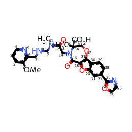 COc1cccnc1CNCN(C)C(=O)CN1C(=O)c2oc3cc(-c4ncco4)ccc3c2OC[C@]1(C)C(=O)O